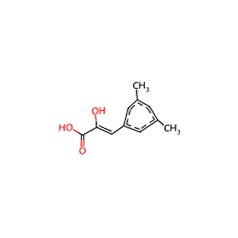 Cc1cc(C)cc(C=C(O)C(=O)O)c1